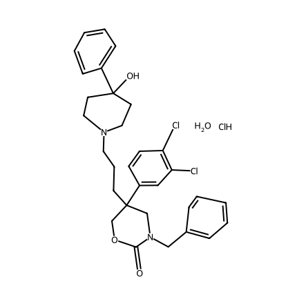 Cl.O.O=C1OCC(CCCN2CCC(O)(c3ccccc3)CC2)(c2ccc(Cl)c(Cl)c2)CN1Cc1ccccc1